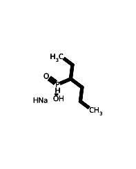 CCCC(CC)[PH](=O)O.[NaH]